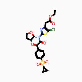 CCOC(=O)Cc1nc(NC(=O)C(O[C@@H]2CCOC2)c2ccc(S(=O)(=O)C3CC3)cc2)sc1Cl